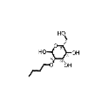 CCCCO[C@H]1C(O)O[C@H](CO)[C@@H](O)[C@@H]1O